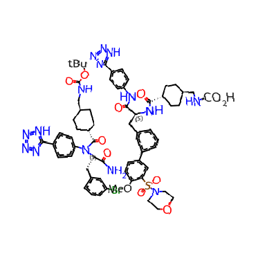 CC(C)(C)OC(=O)NC[C@H]1CC[C@H](C(=O)N(c2ccc(-c3nnn[nH]3)cc2)[C@@H](Cc2cccc(Br)c2)C(N)=O)CC1.COc1ccc(-c2cccc(C[C@H](NC(=O)[C@H]3CC[C@H](CNC(=O)O)CC3)C(=O)Nc3ccc(-c4nnn[nH]4)cc3)c2)cc1S(=O)(=O)N1CCOCC1